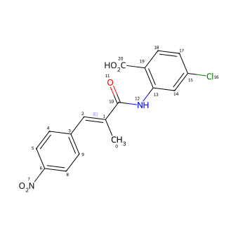 C/C(=C\c1ccc([N+](=O)[O-])cc1)C(=O)Nc1cc(Cl)ccc1C(=O)O